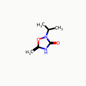 C=C1NC(=O)N(C(C)C)O1